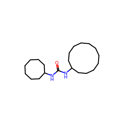 O=C(NC1CCCCCCCCCCC1)NC1CCCCCCC1